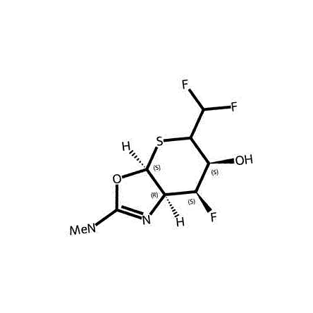 CNC1=N[C@@H]2[C@H](F)[C@H](O)C(C(F)F)S[C@@H]2O1